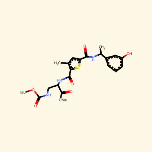 COC(=O)C(CNC(=O)OC(C)(C)C)NC(=O)c1sc(C(=O)NC(C)c2cccc(O)c2)cc1C